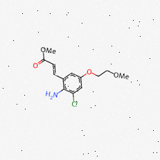 COCCOc1cc(Cl)c(N)c(/C=C/C(=O)OC)c1